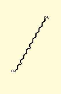 C=CCCCCCCCCCOCCOCCOCCO